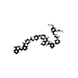 CCOc1nc(OC)cnc1CNCC(=O)N1CCC[C@@H](c2cccc(C(=O)N[C@@H](C(=O)N3CCN(CC4CCN(CC(=O)N5CCN(C(=O)c6cc(Cc7n[nH]c(=O)c8ccccc78)ccc6F)CC5)CC4)CC3)C3CCCCC3)c2)C1